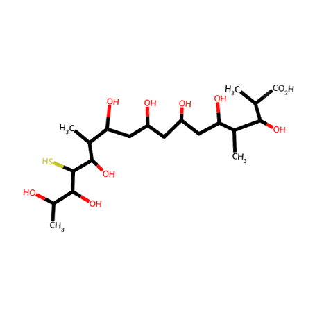 CC(O)C(O)C(S)C(O)C(C)C(O)CC(O)CC(O)CC(O)C(C)C(O)C(C)C(=O)O